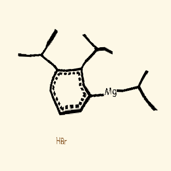 Br.C[CH](C)[Mg][c]1cccc(C(C)C)c1C(C)C